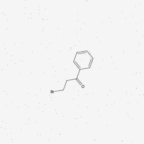 O=C(CCBr)c1ccccc1